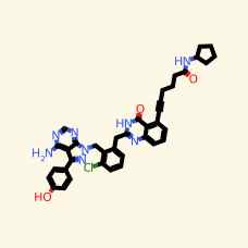 Nc1ncnc2c1c(-c1ccc(O)cc1)nn2Cc1c(Cl)cccc1Cc1nc2cccc(C#CCCCC(=O)NC3CCCC3)c2c(=O)[nH]1